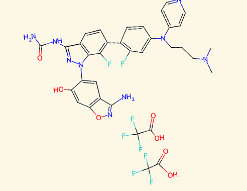 CN(C)CCCN(c1ccncc1)c1ccc(-c2ccc3c(NC(N)=O)nn(-c4cc5c(N)noc5cc4O)c3c2F)c(F)c1.O=C(O)C(F)(F)F.O=C(O)C(F)(F)F